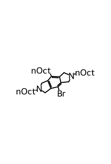 CCCCCCCCc1c2c(c(Br)c3c1CN(CCCCCCCC)C3)CN(CCCCCCCC)C2